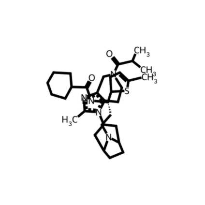 CC1=CCC([C@H](CCN2C3CCC2CC(n2c(C)nc4c2CCN(C(=O)C(C)C)C4)C3)NC(=O)C2CCCCC2)S1